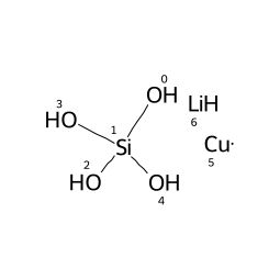 O[Si](O)(O)O.[Cu].[LiH]